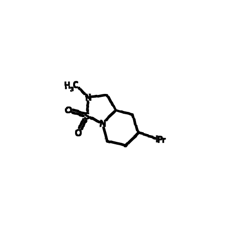 CC(C)C1CCN2C(C1)CN(C)S2(=O)=O